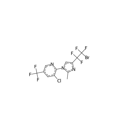 Cc1nc(C(F)(F)C(F)(F)Br)cn1-c1ncc(C(F)(F)F)cc1Cl